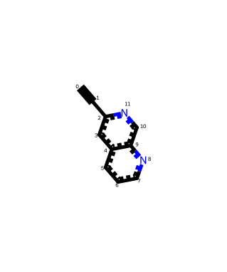 C#Cc1cc2c[c]cnc2cn1